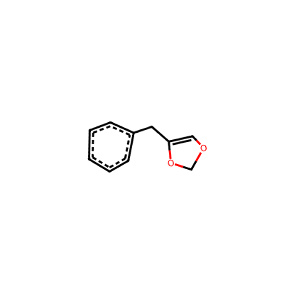 C1=C(Cc2ccccc2)OCO1